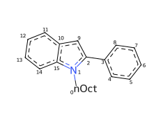 CCCCCCCCn1c(-c2ccccc2)cc2ccccc21